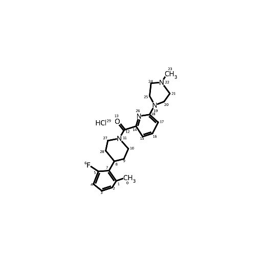 Cc1cccc(F)c1C1CCN(C(=O)c2cccc(N3CCN(C)CC3)n2)CC1.Cl